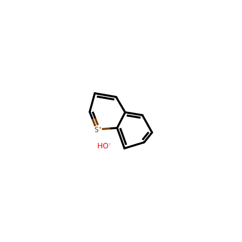 [OH-].c1ccc2[s+]cccc2c1